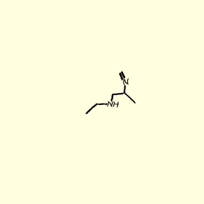 C=NC(C)CNCC